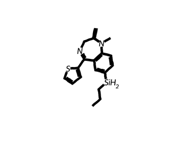 C=C1CN=C(c2cccs2)c2cc([SiH2]CCC)ccc2N1C